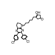 O=C1CC(O)=C(CCCCCCN2CCCc3nc(-c4ccc(Cl)cc4)c(-c4ccc(Cl)cc4)nc32)C1